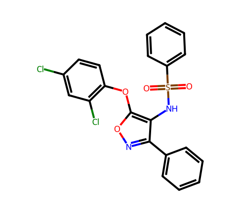 O=S(=O)(Nc1c(-c2ccccc2)noc1Oc1ccc(Cl)cc1Cl)c1ccccc1